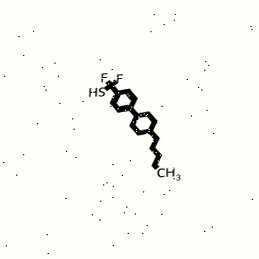 CCCCCC1CCC(c2ccc(C(F)(F)S)cc2)CC1